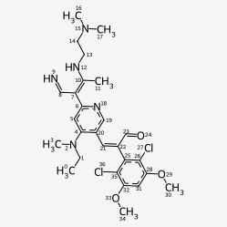 CCN(C)c1cc(/C(C=N)=C(\C)NCCN(C)C)ncc1/C=C(\C=O)c1c(Cl)c(OC)cc(OC)c1Cl